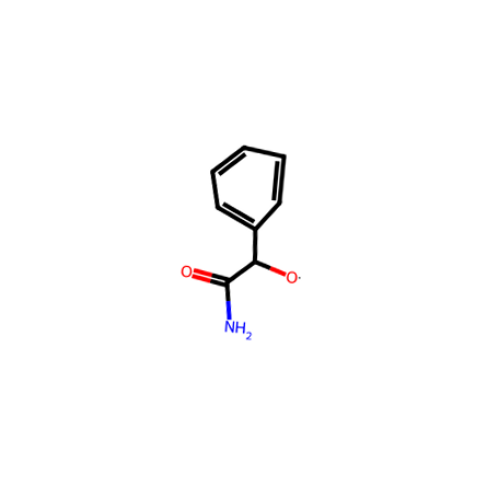 NC(=O)C([O])c1ccccc1